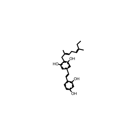 CCC(C)=CCC=C(C)Cc1c(O)cc(C=Cc2ccc(O)cc2O)cc1O